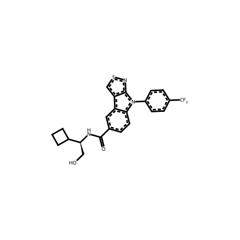 O=C(N[C@@H](CO)C1CCC1)c1ccc2c(c1)c1csnc1n2-c1ccc(C(F)(F)F)cc1